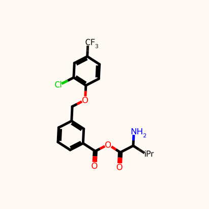 CC(C)C(N)C(=O)OC(=O)c1cccc(COc2ccc(C(F)(F)F)cc2Cl)c1